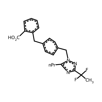 CCCc1nc(C(C)(F)F)nn1Cc1ccc(Cc2ccccc2C(=O)O)cc1